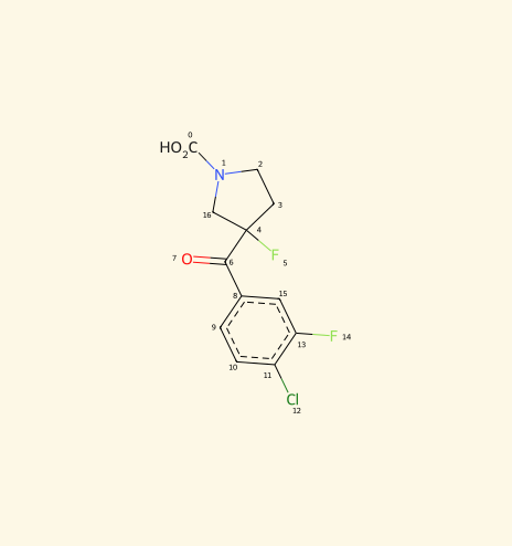 O=C(O)N1CCC(F)(C(=O)c2ccc(Cl)c(F)c2)C1